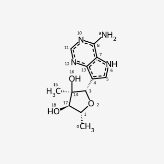 C[C@H]1O[C@@H](c2c[nH]c3c(N)ncnc23)[C@](C)(O)[C@@H]1O